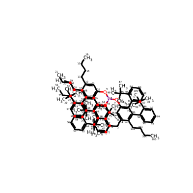 CCCCc1cc(OP(Oc2cc(CCCC)c(CCCC)c(-c3ccccc3C(C)(C)C)c2-c2ccccc2C(C)(C)C)Oc2cc(CCCC)c(CCCC)c(-c3ccccc3C(C)(C)C)c2-c2ccccc2C(C)(C)C)c(-c2ccccc2C(C)(C)C)c(-c2ccccc2C(C)(C)C)c1CCCC